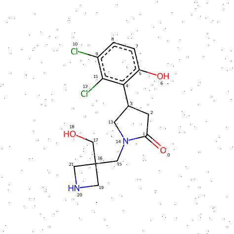 O=C1CC(c2c(O)ccc(Cl)c2Cl)CN1CC1(CO)CNC1